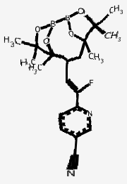 CC1(C)OB2OC1(C)CC(/C=C(\F)c1ccc(C#N)cn1)C1(C)OB2OC1(C)C